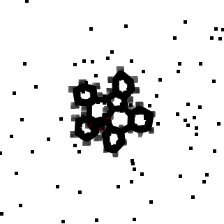 c1ccc2c(c1)-c1ccccc1N1c3ccccc3N3c4ccccc4-c4ccccc4N4c5ccccc5N2C413